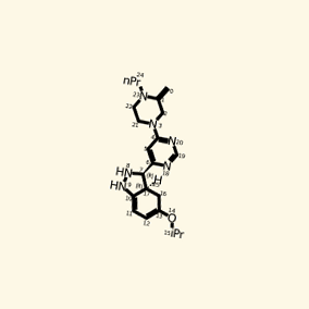 C=C1CN(c2cc([C@@H]3NNC4=CC=C(OC(C)C)C[C@@H]43)ncn2)CCN1CCC